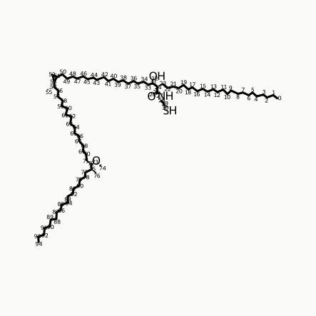 CCCCCCCCCCCCCCCCCCCCCCCC[C@@H](C(=O)NCCS)[C@H](O)CCCCCCCCCCCCCCCCCCC1CC1[C@@H](C)CCCCCCCCCCCCCCCC[C@@H](OC)[C@@H](C)CCCCCCCCCCCCCCCCCC